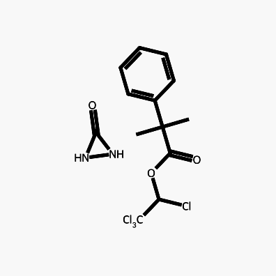 CC(C)(C(=O)OC(Cl)C(Cl)(Cl)Cl)c1ccccc1.O=C1NN1